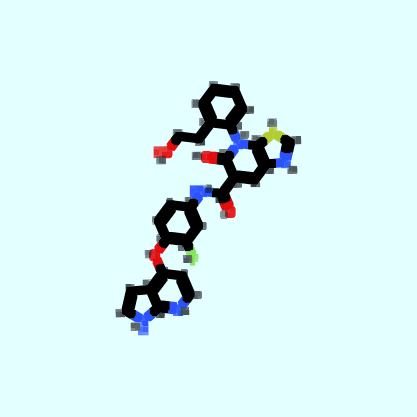 O=C(Nc1ccc(Oc2ccnc3[nH]ccc23)c(F)c1)c1cc2ncsc2n(-c2ccccc2CCO)c1=O